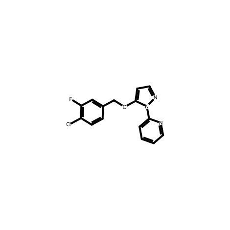 Fc1cc(COc2ccnn2-c2ccccn2)ccc1Cl